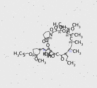 C=CC[C@@H]1/C=C(\C)C[C@H](C)C[C@H](CC)[C@H]2O[C@@](O)(C(=O)C(=O)N3CCCC[C@H]3C(=O)O[C@H](/C(C)=C/[C@@H]3CC[C@@H](OCSC)[C@H](OC)C3)[C@H](C)[C@@H](O)CC1=O)[C@H](C)C[C@@H]2OC